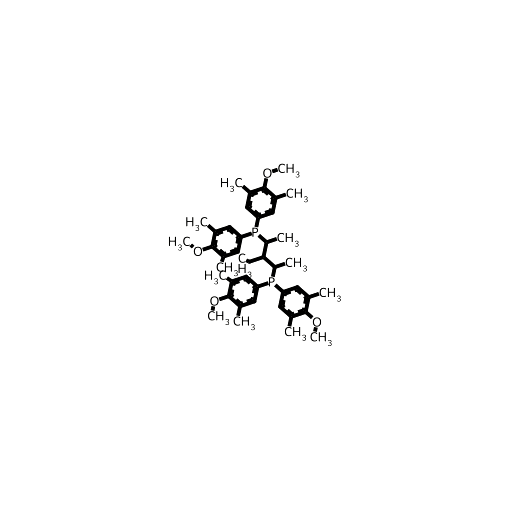 CCC(C(C)P(c1cc(C)c(OC)c(C)c1)c1cc(C)c(OC)c(C)c1)C(C)P(c1cc(C)c(OC)c(C)c1)c1cc(C)c(OC)c(C)c1